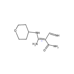 N=C/C(C(N)=O)=C(/N)NC1CCOCC1